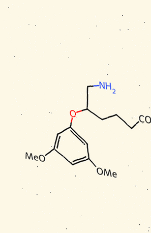 COc1cc(OC)cc(OC(CN)CCCC(=O)O)c1